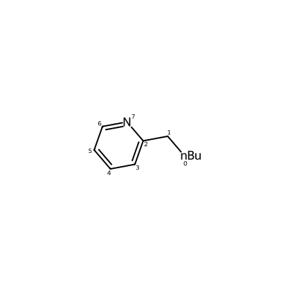 CCCCCc1ccccn1